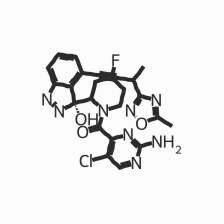 Cc1nc(C(C)C#Cc2cccc3c2[C@@](O)(C2CC(F)CCN2C(=O)c2nc(N)ncc2Cl)N=N3)no1